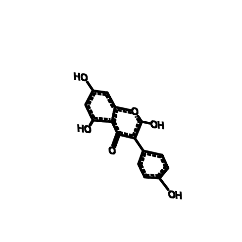 O=c1c(-c2ccc(O)cc2)c(O)oc2cc(O)cc(O)c12